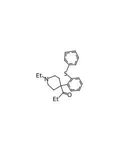 CCC(=O)C1(c2ccccc2Sc2ccccc2)CCN(CC)CC1